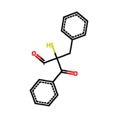 O=[C]C(S)(Cc1ccccc1)C(=O)c1ccccc1